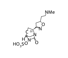 CNCCC1CC([C@@H]2CC[C@@H]3CN2C(=O)N3OS(=O)(=O)O)=NO1